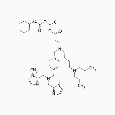 CCCN(CCC)CCCCN(CCC(=O)OC(C)OC(=O)OC1CCCCC1)Cc1ccc(CN(Cc2ncc[nH]2)Cc2nccn2C)cc1